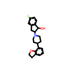 OC1c2ccc(F)cc2CC1N1CCC(c2cccc3c2OCC3)CC1